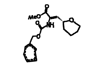 COC(=O)/C(=C/[C@H]1CCCCO1)NC(=O)OCc1ccccc1